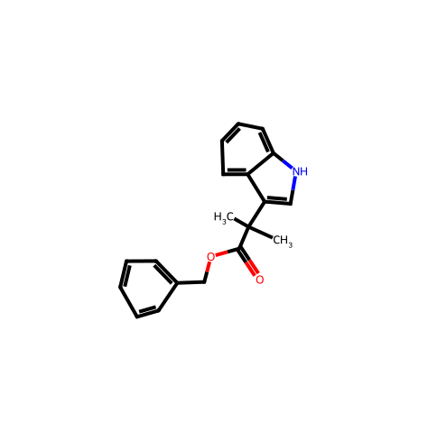 CC(C)(C(=O)OCc1ccccc1)c1c[nH]c2ccccc12